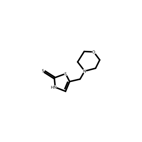 S=c1[nH]cc(CN2CCOCC2)s1